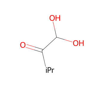 CC(C)C(=O)C(O)O